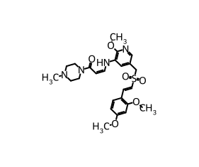 COc1ccc(/C=C/S(=O)(=O)Cc2cnc(OC)c(N/C=C\C(=O)N3CCN(C)CC3)c2)c(OC)c1